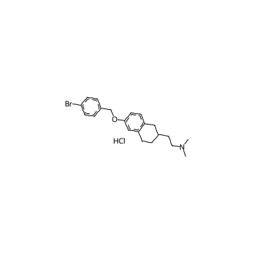 CN(C)CCC1CCc2cc(OCc3ccc(Br)cc3)ccc2C1.Cl